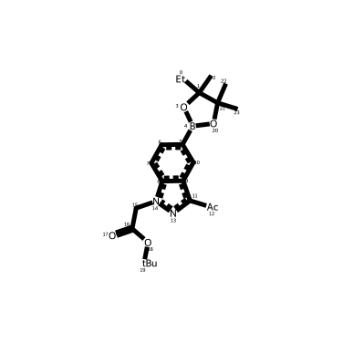 CCC1(C)OB(c2ccc3c(c2)c(C(C)=O)nn3CC(=O)OC(C)(C)C)OC1(C)C